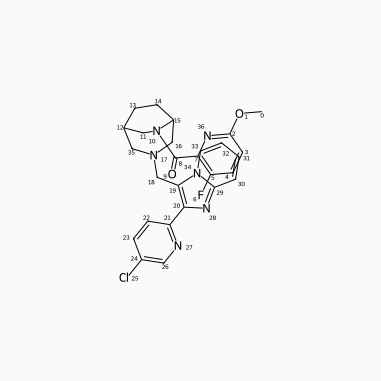 COc1ccc(F)c(C(=O)N2CC3CCC2CN(Cc2c(-c4ccc(Cl)cn4)nc4ccccn24)C3)n1